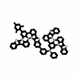 Cc1cc(C)c(-c2cc3c4c(c2)-n2c5oc6ccccc6c5c5cccc(c52)B4n2c4c-3cccc4c3sc4cc(-c5cccc(N(c6ccccc6)c6cc7c8c(c6)-n6c9c(cccc9c9oc%10ccccc%10c96)B8n6c8c-7cccc8c7sc8ccccc8c76)c5)ccc4c32)c(C)c1